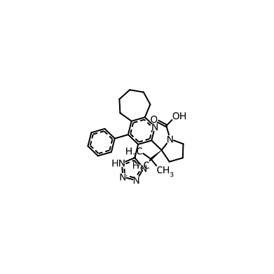 CC(C)(C)[C@]1(c2nc3c(c(-c4ccccc4)c2-c2nnn[nH]2)CCCCC3)CCCN1C(=O)O